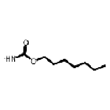 CCCCCCCOC([NH])=O